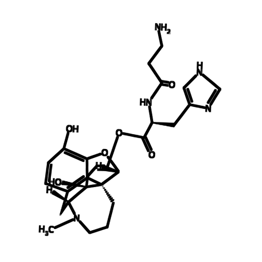 CN1CCC[C@]23c4c5ccc(O)c4O[C@H]2C(OC(=O)[C@H](Cc2c[nH]cn2)NC(=O)CCN)=CC[C@@]3(O)[C@H]1C5